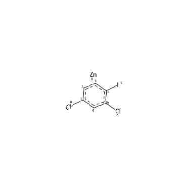 Clc1ccc(I)c(Cl)c1.[Zn]